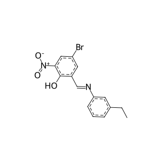 CCc1cccc(/N=C/c2cc(Br)cc([N+](=O)[O-])c2O)c1